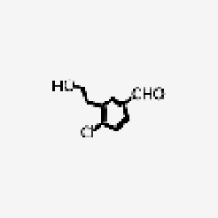 O=Cc1ccc(Cl)c(CCO)c1